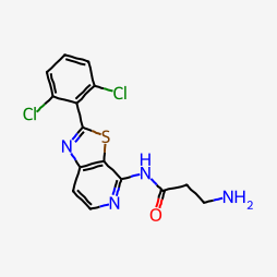 NCCC(=O)Nc1nccc2nc(-c3c(Cl)cccc3Cl)sc12